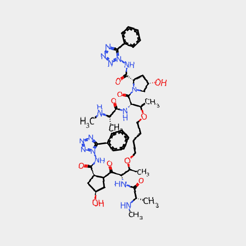 CN[C@@H](C)C(=O)N[C@H](C(=O)C1C[C@@H](O)C[C@H]1C(=O)Nn1nnnc1-c1ccccc1)C(C)OCCCCOC(C)[C@H](NC(=O)[C@H](C)NC)C(=O)N1C[C@@H](O)C[C@H]1C(=O)Nn1nnnc1-c1ccccc1